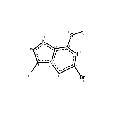 CSc1nc(Br)cn2c(I)cnc12